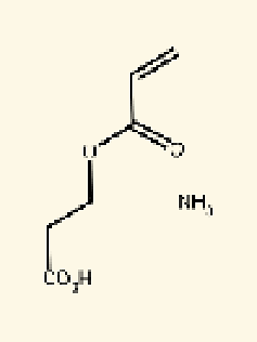 C=CC(=O)OCCC(=O)O.N